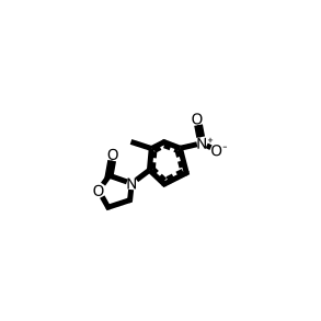 Cc1cc([N+](=O)[O-])ccc1N1CCOC1=O